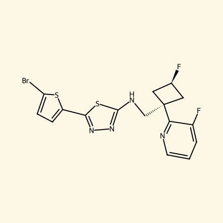 Fc1cccnc1[C@]1(CNc2nnc(-c3ccc(Br)s3)s2)C[C@H](F)C1